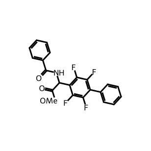 COC(=O)C(NC(=O)c1ccccc1)c1c(F)c(F)c(-c2ccccc2)c(F)c1F